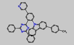 Cc1ccc(-c2ccc3c(c2)c2ccccc2n3-c2ccc(-c3cccnc3)cc2-c2nc(-c3ccccc3)nc(-c3ccccc3)n2)cc1